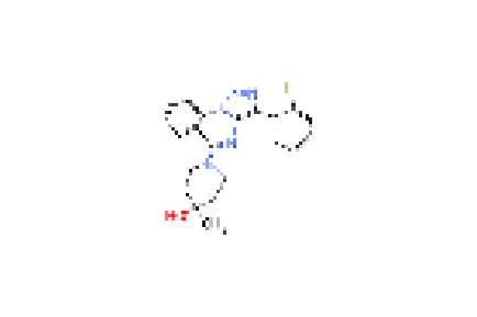 CC1(O)CCN(c2nc3c(-c4ccccc4F)nnn3c3ccccc23)CC1